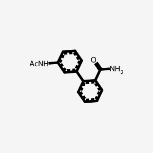 CC(=O)Nc1cccc(-c2ccccc2C(N)=O)c1